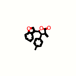 C=C1C(=O)OC(c2coc3ccccc23)C1c1ccc(C)cc1